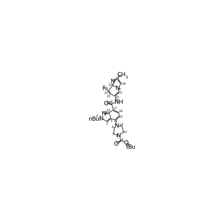 CCCCn1cc2c(N3CCN(C(=O)OC(C)(C)C)CC3)ccc(C(=O)Nc3cc(F)c4nc(C)cn4c3)c2n1